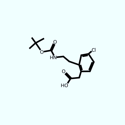 CC(C)(C)OC(=O)NCCc1cc(Cl)ccc1CC(=O)O